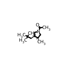 CC(=O)N1C[C@H](CC(C)(C)C)[C@@H](C)C1